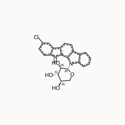 O[C@@H]1[C@@H](O)[C@H](n2c3ccccc3c3ccc4c5cc(Cl)ccc5[nH]c4c32)OC[C@H]1O